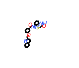 O=C1CSc2c(cccc2NC(=O)c2cccc(OCc3ccc4ccccc4n3)c2)N1